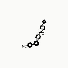 N#Cc1ccc(-c2cccc(N3CCN(CC(=O)N4CCN(C5CCC5)CC4)CC3)c2)cc1